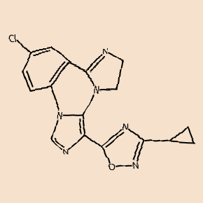 Clc1ccc2c(c1)C1=NCCN1c1c(-c3nc(C4CC4)no3)ncn1-2